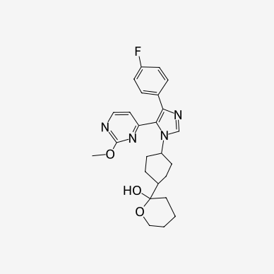 COc1nccc(-c2c(-c3ccc(F)cc3)ncn2C2CCC(C3(O)CCCCO3)CC2)n1